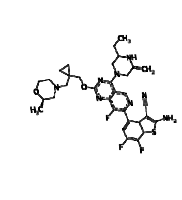 C=C1CN(c2nc(OCC3(CN4CCO[C@H](C)C4)CC3)nc3c(F)c(C4=CC(F)=C(F)C5SC(N)=C(C#N)C45)ncc23)CC(CC)N1